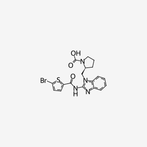 O=C(Nc1nc2ccccc2n1C[C@@H]1CCCN1C(=O)O)c1ccc(Br)s1